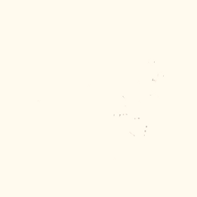 CC(C)CCC[C@@H](C)CCC[C@@H](C)CCC[C@@H]1C(=O)c2cc(OC3CCCCO3)ccc2C2CC[C@@]3(C)C(CC[C@@H]3OC3CCCCO3)C21